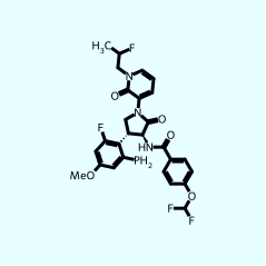 COc1cc(F)c([C@@H]2CN(c3cccn(CC(C)F)c3=O)C(=O)[C@H]2NC(=O)c2ccc(OC(F)F)cc2)c(P)c1